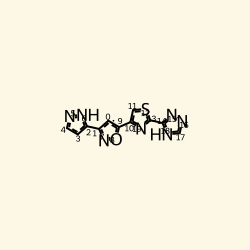 [c]1c(-c2ccn[nH]2)noc1-c1csc(-c2nnc[nH]2)n1